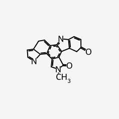 CN1C=c2c(c3c(c4c2=C2N=CC=C2CC=4)=NC2=C3CC(=O)C=C2)C1=O